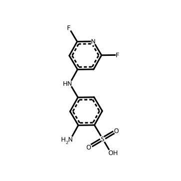 Nc1cc(Nc2cc(F)nc(F)c2)ccc1S(=O)(=O)O